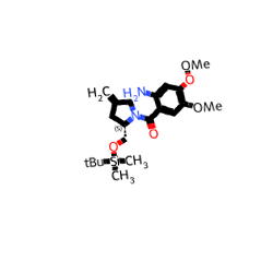 C=C1C[C@@H](CO[Si](C)(C)C(C)(C)C)N(C(=O)c2cc(OC)c(OOC)cc2N)C1